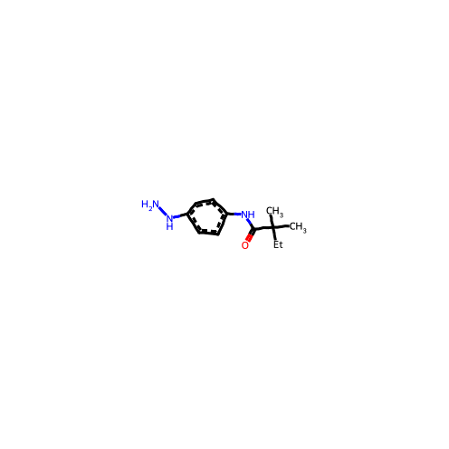 CCC(C)(C)C(=O)Nc1ccc(NN)cc1